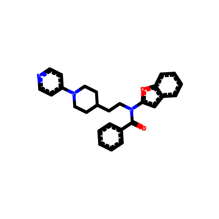 O=C(c1ccccc1)N(CCC1CCN(c2ccncc2)CC1)c1cc2ccccc2o1